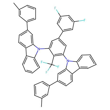 Cc1cccc(-c2ccc3c4ccccc4n(-c4cc(-c5cc(F)cc(F)c5)cc(-n5c6ccccc6c6ccc(-c7cccc(C)c7)cc65)c4C(F)(F)F)c3c2)c1